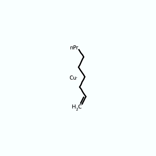 C=CCCCCCCC.[Cu]